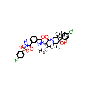 CC(C)[C@@H](NC(=O)c1cccc(C(=O)NS(=O)(=O)c2ccc(F)cc2)c1)C(=O)N1CC[C@](O)(c2ccc(Cl)cc2)C(C)(C)C1